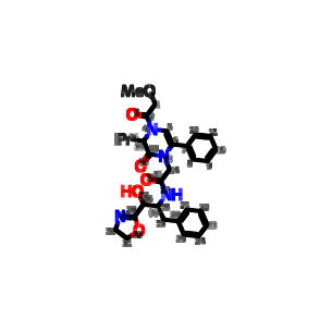 COCC(=O)N1C=C(c2ccccc2)N(CC(=O)N[C@@H](Cc2ccccc2)C(O)C2=NCCO2)C(=O)C1C(C)C